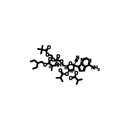 CCC(CC)COC(=O)[C@H](C)N[P@](=O)(OCOC(=O)C(C)(C)C)OC[C@H]1O[C@@](C#N)(c2ccc3c(N)ncnn23)[C@H](OC(=O)C(C)C)[C@@H]1OC(=O)C(C)C